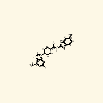 Nc1nc(Cl)nc2c1ncn2C1CCC(C(=O)Nc2nc3ccc(Br)cc3s2)CC1